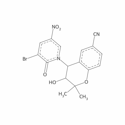 CC1(C)Oc2ccc(C#N)cc2C(n2cc([N+](=O)[O-])cc(Br)c2=O)C1O